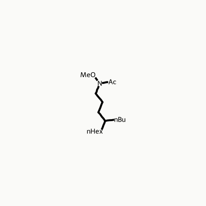 CCCCCCC(CCCC)CCCN(OC)C(C)=O